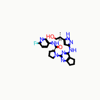 C[C@@H](CO)c1cc(Nc2nc(N3CCC[C@H]3C(=O)Nc3ccc(F)nc3)nc3c2CCC3)n[nH]1